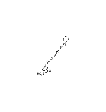 O=C(CCOCCOCCOCCOCCOCCC(=O)C1CCCCCCC1)ON1C(=O)CC(S(=O)(=O)O)C1=O